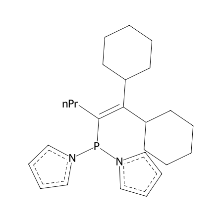 CCCC(=C(C1CCCCC1)C1CCCCC1)P(n1cccc1)n1cccc1